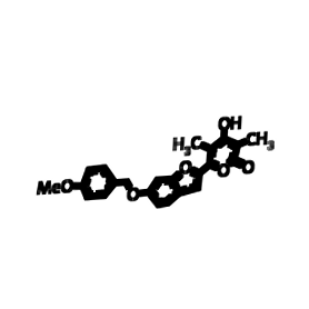 COc1ccc(COc2ccc3cc(-c4oc(=O)c(C)c(O)c4C)oc3c2)cc1